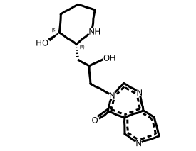 O=c1c2cnccc2ncn1CC(O)C[C@H]1NCCC[C@@H]1O